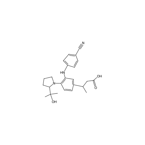 CC(CC(=O)O)c1ccc(N2CCCC2C(C)(C)O)c(Nc2ccc(C#N)cc2)c1